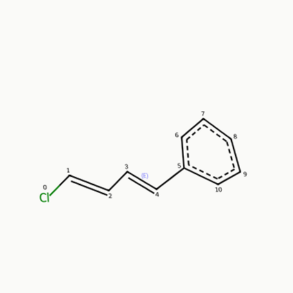 ClC=C/C=C/c1ccccc1